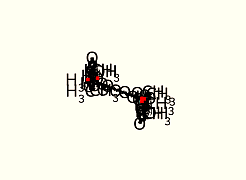 CC1(C)O[C@@H]2C[C@H]3[C@@H]4CCC5=CC(=O)C=C[C@]5(C)[C@@]4(F)[C@@H](O)C[C@]3(C)[C@]2(C(=O)COC(=O)OCCOCCOCCOC(=O)OCC(=O)[C@@]23OC(C)(C)O[C@@H]2C[C@H]2[C@@H]4CCC5=CC(=O)C=C[C@]5(C)[C@@]4(F)[C@@H](O)C[C@@]23C)O1